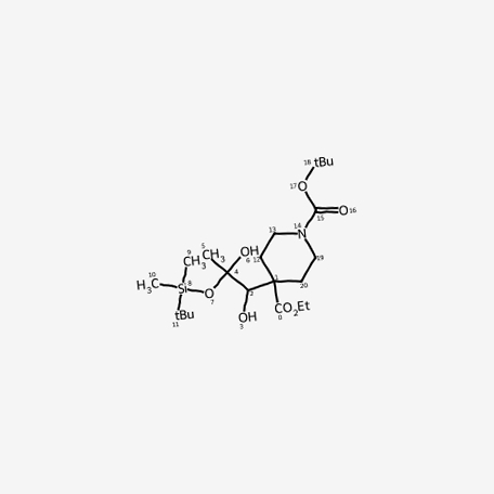 CCOC(=O)C1(C(O)C(C)(O)O[Si](C)(C)C(C)(C)C)CCN(C(=O)OC(C)(C)C)CC1